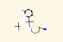 CC(C)(C)[S@@+]([O-])NC(CF)(C[S@@]1(O)NCCC[C@@]1(C)C#N)c1nc(Br)ccc1F